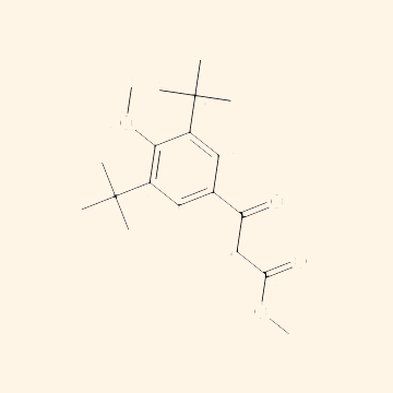 COC(=O)CC(=O)c1cc(C(C)(C)C)c(OC)c(C(C)(C)C)c1